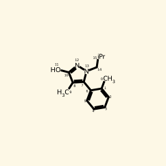 Cc1ccccc1-c1c(C)c(O)nn1CC(C)C